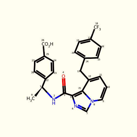 C[C@H](NC(=O)c1ncn2cccc(Cc3ccc(C(F)(F)F)cc3)c12)c1ccc(C(=O)O)cc1